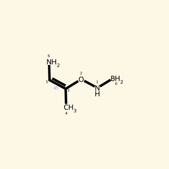 BNO/C(C)=C\N